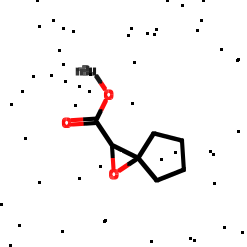 CCCCOC(=O)C1OC12CCCC2